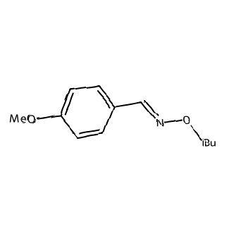 CCC(C)O/N=[C]/c1ccc(OC)cc1